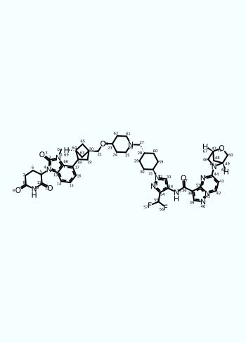 Cn1c(=O)n(C2CCC(=O)NC2=O)c2cccc(C3C[C@]4(COC5CCN(C[C@H]6CC[C@H](n7cc(NC(=O)c8cnn9ccc(N%10C[C@H]%11C[C@@H]%10CO%11)nc89)c(C(F)F)n7)CC6)CC5)C[C@@H]3C4)c21